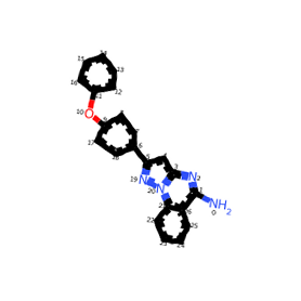 Nc1nc2cc(-c3ccc(Oc4ccccc4)cc3)nn2c2ccccc12